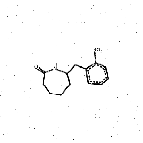 O=C1CCCCC(Cc2ccccc2[N+](=O)[O-])N1